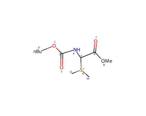 CCCCOC(=O)NC(C(=O)OC)[S+](C)C